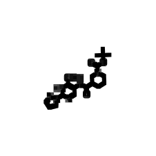 CC(C)(C)OC(=O)N1CCCC(C(=O)NC2=C(O)NC(n3cccn3)N=C2)C1